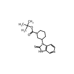 CC(C)(C)OC(=O)N1CCCC(n2c(=S)[nH]c3cnccc32)C1